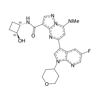 CNc1cc(-c2cn(C3CCOCC3)c3ncc(F)cc23)nc2c(C(=O)N[C@H]3CC[C@@H]3O)cnn12